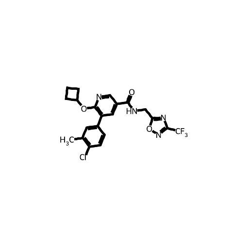 Cc1cc(-c2cc(C(=O)NCc3nc(C(F)(F)F)no3)cnc2OC2CCC2)ccc1Cl